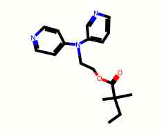 CCC(C)(C)C(=O)OCCN(c1ccncc1)c1cccnc1